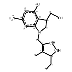 CCC1NNC(CN2CC(CO)c3c(Cl)nc(N)nc32)=C1C